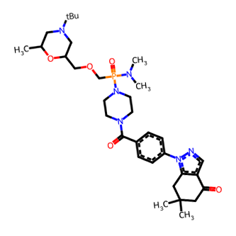 CC1CN(C(C)(C)C)CC(COCP(=O)(N(C)C)N2CCN(C(=O)c3ccc(-n4ncc5c4CC(C)(C)CC5=O)cc3)CC2)O1